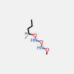 CCC[C@@H](C)ONONOC